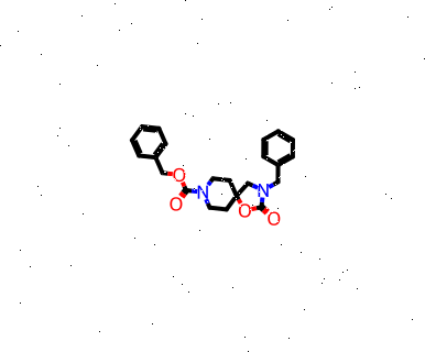 O=C(OCc1ccccc1)N1CCC2(CC1)CN(Cc1ccccc1)C(=O)O2